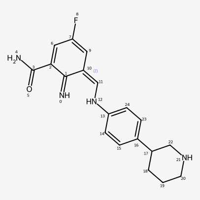 N=C1C(C(N)=O)=CC(F)=C/C1=C/Nc1ccc(C2CCCNC2)cc1